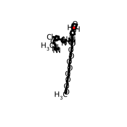 COCCOCCOCCOCCOCCOCCOCCOCCOc1nn(C2CCC(N3[C@@H]4CC[C@H]3COC4)CC2)cc1Nc1ncc(-c2ccc(Cl)c(O[C@@H](C)Cn3cnnn3)c2)cn1